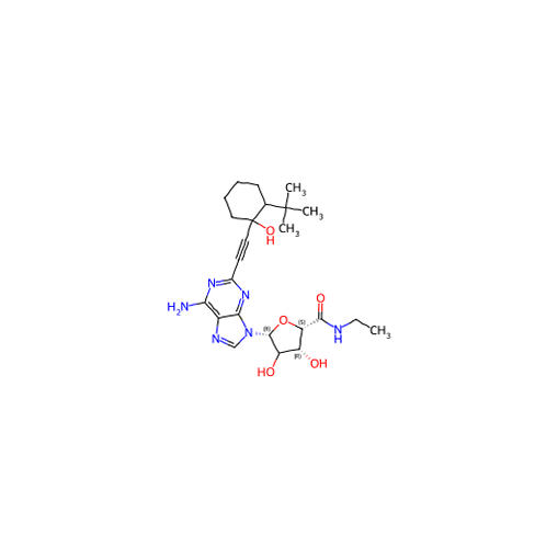 CCNC(=O)[C@H]1O[C@@H](n2cnc3c(N)nc(C#CC4(O)CCCCC4C(C)(C)C)nc32)C(O)[C@H]1O